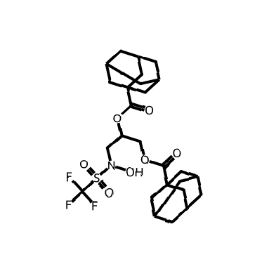 O=C(OCC(CN(O)S(=O)(=O)C(F)(F)F)OC(=O)C12CC3CC(CC(C3)C1)C2)C12CC3CC(CC(C3)C1)C2